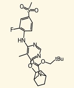 Cc1c(Nc2ccc(S(C)(=O)=O)cc2F)ncnc1OC1CC2CCC1N2C(=O)OCC(C)(C)C